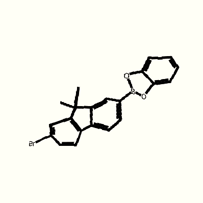 CC1(C)c2cc(Br)ccc2-c2ccc(B3Oc4ccccc4O3)cc21